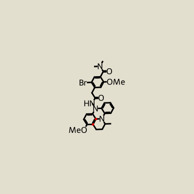 COc1ccc(N(NC(=O)Cc2cc(OC)c(C(=O)N(C)C)cc2Br)c2ccccc2N2CCCCC2C)cc1